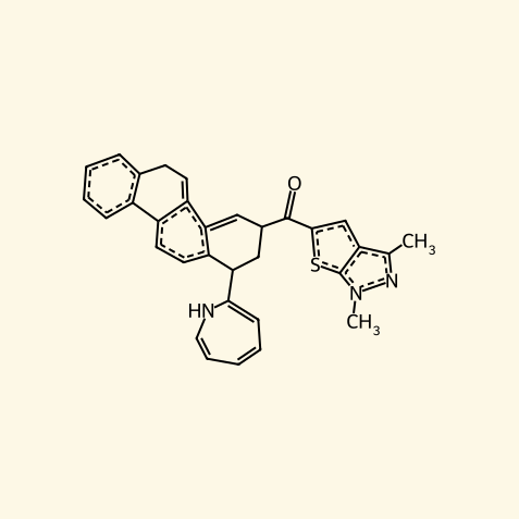 Cc1nn(C)c2sc(C(=O)C3C=c4c(ccc5c4=CCc4ccccc4-5)C(C4=CC=CC=CN4)C3)cc12